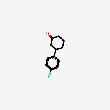 O=C1CCCC(c2ccc(F)cc2)C1